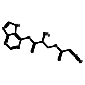 [N-]=[N+]=CC(=O)OC[C@H](N)C(=O)Oc1ncnc2nc[nH]c12